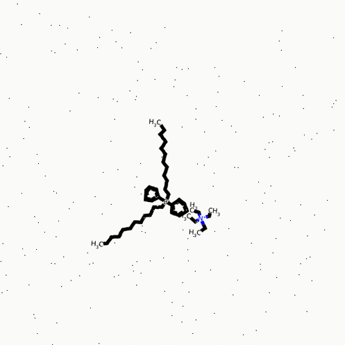 CCCCCCCCCCCC[B-](CCCCCCCCCCCC)(c1ccccc1)c1ccccc1.CC[N+](CC)(CC)CC